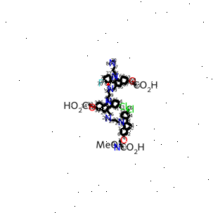 CO/N=C(\COc1ccc2c(ccc3c4cc(Cl)ccc4n(CCCN(C)Cc4cc5cc(OCC(=O)O)ccc5c5c4c4cc(Cl)ccc4n5CCCN(C)Cc4cc5cc(OCC(=O)O)ccc5c5c4c4cc(F)ccc4n5CCCN(C)C)c23)c1)C(=O)O